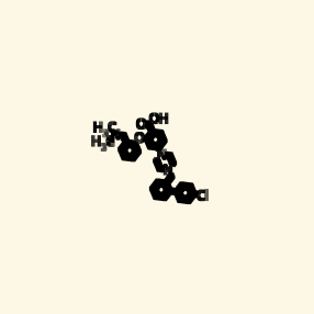 CN(C)Cc1ccccc1Oc1cc(N2CCN(Cc3ccccc3-c3ccc(Cl)cc3)CC2)ccc1C(=O)O